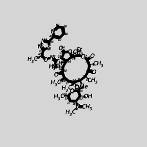 CC[C@@H]1OC(=O)[C@H](C)C(=O)[C@H](C)[C@@H](OC2O[C@H](C)C[C@H](N(C)C)[C@H]2O)[C@](C)(OC)CC(C)C(=O)[C@H](C)[C@H]2[C@H](/C(N)=N/O[C@@H](C)c3nnc(-c4ccccn4)s3)C(=O)O[C@@]21C